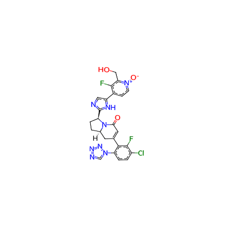 O=C1C=C(c2c(-n3cnnn3)ccc(Cl)c2F)C[C@H]2CC[C@@H](c3ncc(-c4cc[n+]([O-])c(CO)c4F)[nH]3)N12